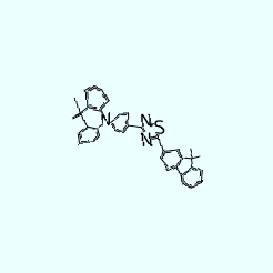 CC1(C)c2ccccc2-c2ccc(-c3nc(-c4ccc(N5c6ccccc6C(C)(C)c6ccccc65)cc4)ns3)cc21